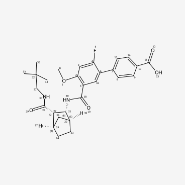 COc1cc(F)c(-c2ccc(C(=O)O)cc2)cc1C(=O)N[C@@H]1[C@H]2CC[C@H](C2)[C@@H]1C(=O)NCC(C)(C)C